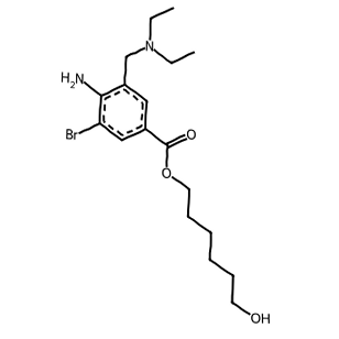 CCN(CC)Cc1cc(C(=O)OCCCCCCO)cc(Br)c1N